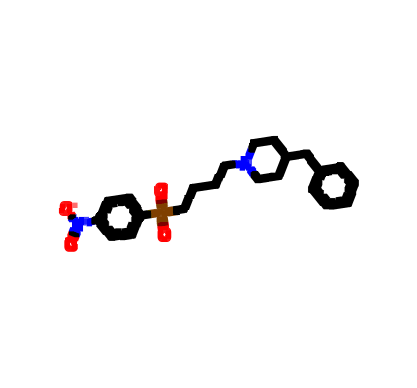 O=[N+]([O-])c1ccc(S(=O)(=O)CCCCN2CCC(Cc3ccccc3)CC2)cc1